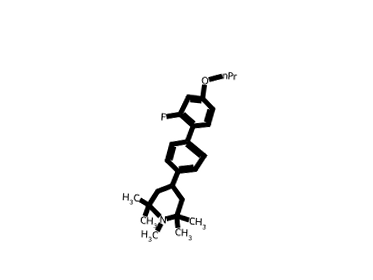 CCCOc1ccc(-c2ccc(C3CC(C)(C)N(C)C(C)(C)C3)cc2)c(F)c1